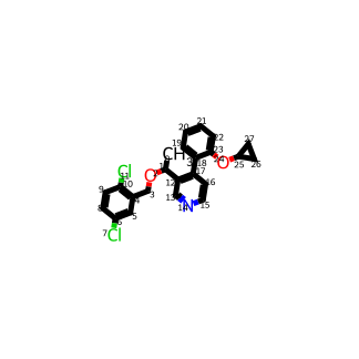 CC(OCc1cc(Cl)ccc1Cl)c1cnccc1-c1ccccc1OC1CC1